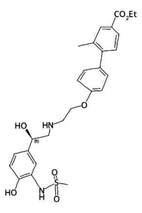 CCOC(=O)c1ccc(-c2ccc(OCCNC[C@H](O)c3ccc(O)c(NS(C)(=O)=O)c3)cc2)c(C)c1